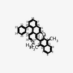 Cc1c2c(c(C)c3ccccc13)-c1c3c(cc4cccc(-c5ccccc5)c4c3cc[n+]1C)O2